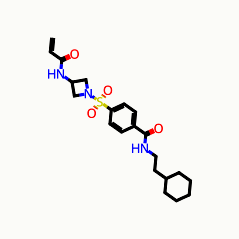 C=CC(=O)NC1CN(S(=O)(=O)c2ccc(C(=O)NCCC3CCCCC3)cc2)C1